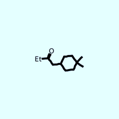 CCC(=O)CC1CCC(C)(C)CC1